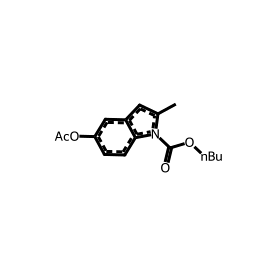 CCCCOC(=O)n1c(C)cc2cc(OC(C)=O)ccc21